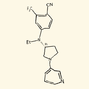 CCN(c1ccc(C#N)c(C(F)(F)F)c1)[C@@H]1CCN(c2cccnc2)C1